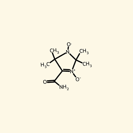 CC1(C)C(C(N)=O)=[N+]([O-])C(C)(C)N1[O]